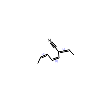 C\C=C/C=C\C(C#N)=C/C